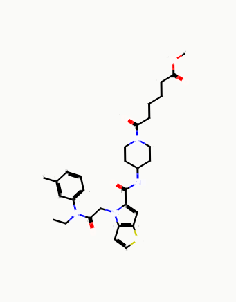 CCN(C(=O)Cn1c(C(=O)NC2CCN(C(=O)CCCCC(=O)OC)CC2)cc2sccc21)c1cccc(C)c1